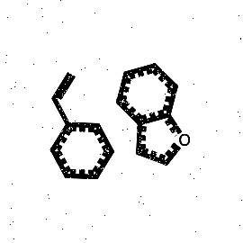 C=Cc1ccccc1.c1ccc2occc2c1